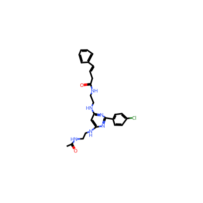 CC(=O)NCCNc1cc(NCCNC(=O)CC=Cc2ccccc2)nc(-c2ccc(Cl)cc2)n1